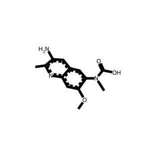 COc1cc2nc(C)c(N)cc2cc1N(C)C(=O)O